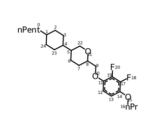 CCCCCC1CCC(C2CCC(COc3ccc(OCCC)c(F)c3F)OC2)CC1